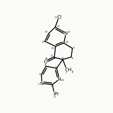 CC(C)c1nccc(C2(C)CCc3nc(Cl)ccc3C2=O)n1